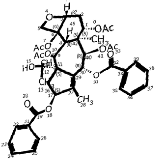 CC(=O)O[C@H]1C[C@H]2OC[C@@]2(OC(C)=O)[C@H]2[C@H](OC(C)=O)[C@]3(C(C)(C)O)C[C@H](OC(=O)c4ccccc4)C(C)=C3[C@@H](OC(=O)c3ccccc3)[C@H](OC(C)=O)[C@]12C